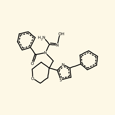 NC(=NO)N(CC1(c2nc(-c3ccccc3)cs2)CCOCC1)C(=O)c1ccccc1